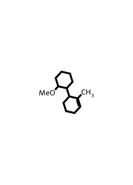 COC1CCCCC1C1CCCC=C1C